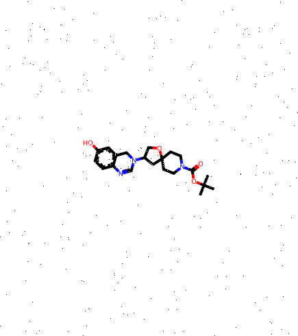 CC(C)(C)OC(=O)N1CCC2(CC1)CC(N1C=Nc3ccc(O)cc3C1)CO2